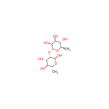 C[C@H]1O[C@H](O[C@H]2[C@@H](O)[C@H](O)[C@@H](C)O[C@@H]2O)[C@@H](O)[C@@H](O)[C@@H]1O